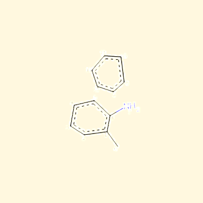 Cc1ccccc1N.c1ccccc1